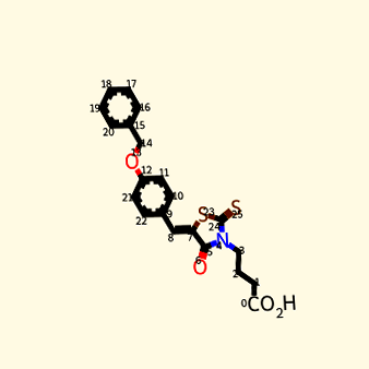 O=C(O)CCCN1C(=O)/C(=C/c2ccc(OCc3ccccc3)cc2)SC1=S